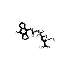 Cn1nc(S(=O)(=O)NC(=O)Nc2c3c(c(F)c4c2CCC4)CCC3)cc1C(=O)O